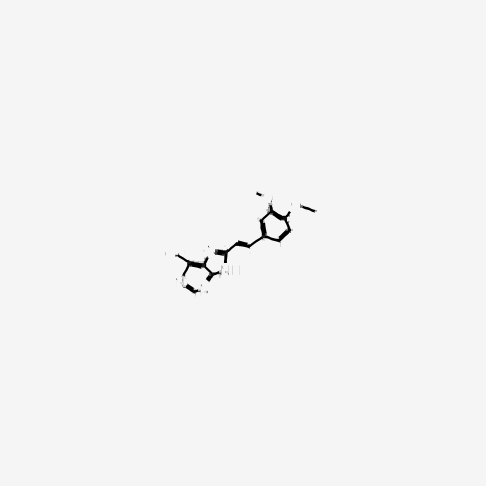 COc1ccc(C=Cc2nc3c(Cl)ncnc3[nH]2)cc1OC